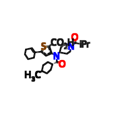 CC(C)C(=O)N1CCC(N(c2cc(C3=CCCCC3)sc2C(=O)O)C(=O)[C@H]2CC[C@H](C)CC2)CC1